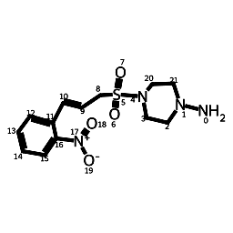 NN1CCN(S(=O)(=O)CC=Cc2ccccc2[N+](=O)[O-])CC1